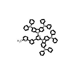 Cc1cccc(-c2cccc(-c3cc(-n4c5ccc(N(c6ccccc6)c6ccccc6)cc5c5cc(N(c6ccccc6)c6ccccc6)ccc54)nc(-n4c5ccc(N(c6ccccc6)c6ccccc6)cc5c5cc(N(c6ccccc6)c6ccccc6)ccc54)c3)c2)n1